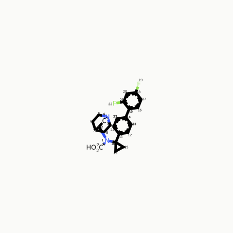 O=C(O)N(C1CN2CCC1CC2)C1(c2ccc(-c3ccc(F)cc3F)cc2)CC1